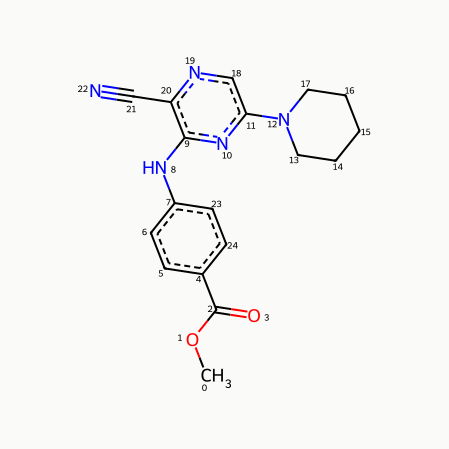 COC(=O)c1ccc(Nc2nc(N3CCCCC3)cnc2C#N)cc1